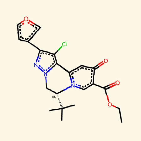 CCOC(=O)c1cn2c(cc1=O)-c1c(Cl)c(-c3ccoc3)nn1C[C@H]2C(C)(C)C